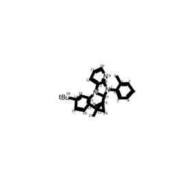 Cc1ccccc1N1c2ncccc2N2c3cc(C(C)(C)C)ccc3C3(C)CC3(C)C21